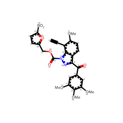 C#Cc1c(OC)ccc2c(C(=O)c3cc(OC)c(OC)c(OC)c3)nn(C(=O)OCc3ccc([N+](=O)[O-])o3)c12